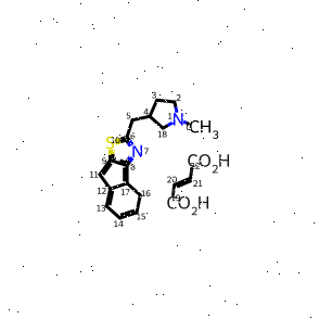 CN1CCC(Cc2nc3c(s2)=CC2=CC=CCC=32)C1.O=C(O)C=CC(=O)O